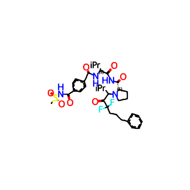 CC(C)C(C(=O)C(F)(F)CCCc1ccccc1)N1CCC[C@H]1C(=O)NC(=O)[C@@H](NC(=O)c1ccc(C(=O)NS(C)(=O)=O)cc1)C(C)C